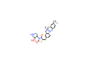 O=C1SC(=Cc2ccc3c(cnn3Cc3ccc(C(F)(F)F)cc3C(F)(F)F)c2)C(=O)N1[C@@H]1CCNC[C@H]1O